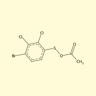 CC(=O)OSc1ccc(Br)c(Cl)c1Cl